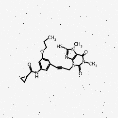 CCCOc1cc(C#CCn2c(=O)n(C)c(=O)c3c2nc(S)n3C)cc(NC(=O)C2CC2)c1